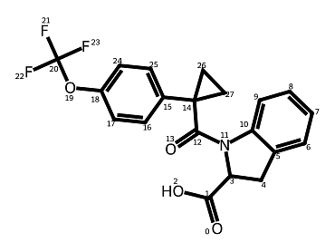 O=C(O)C1Cc2ccccc2N1C(=O)C1(c2ccc(OC(F)(F)F)cc2)CC1